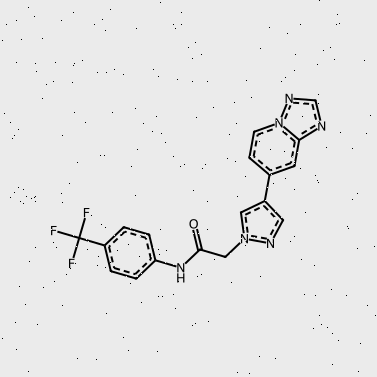 O=C(Cn1cc(-c2ccn3ncnc3c2)cn1)Nc1ccc(C(F)(F)F)cc1